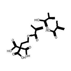 C=C(C)C(=O)O.C=C(C)C(=O)O.C=C(C)C(=O)OCCC(C(=O)O)(C(=O)O)C(=O)O